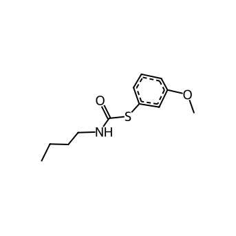 CCCCNC(=O)Sc1cccc(OC)c1